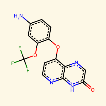 Nc1ccc(Oc2ccnc3[nH]c(=O)cnc23)c(OC(F)(F)F)c1